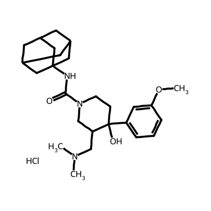 COc1cccc(C2(O)CCN(C(=O)NC34CC5CC(CC(C5)C3)C4)CC2CN(C)C)c1.Cl